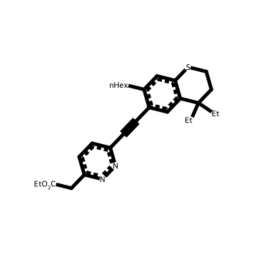 CCCCCCc1cc2c(cc1C#Cc1ccc(CC(=O)OCC)nn1)C(CC)(CC)CCS2